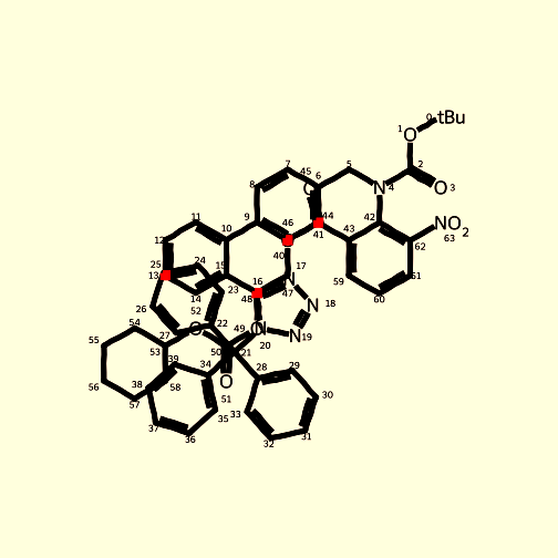 CC(C)(C)OC(=O)N(Cc1ccc(-c2ccccc2-c2nnnn2C(c2ccccc2)(c2ccccc2)c2ccccc2)cc1)c1c(C(=O)OCCOC(=O)OC2CCCCC2)cccc1[N+](=O)[O-]